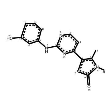 Cc1c(-c2ccnc(Nc3cccc(O)c3)n2)sc(=O)n1C